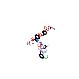 COC(=O)c1ccc(COc2ccc3c(C(C)=O)cn(CC(=O)N4C[C@H](F)C[C@H]4C(=O)NCc4cccc(Cl)c4F)c3c2)cc1